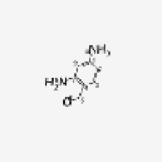 Nc1ccc(C[O])c(N)c1